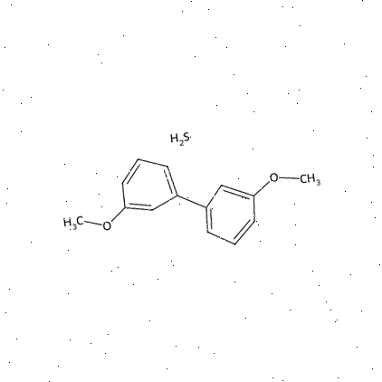 COc1cccc(-c2cccc(OC)c2)c1.S